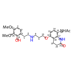 COc1ccc(CCNCCCOc2ccc(NC(C)=O)c3c2CCC(=O)N3)c(O)c1OC